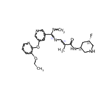 C=N/C(=N\C=C(/C)C(=O)N[C@@H]1CNC[C@@H](F)C1)c1cncc(Oc2ncccc2OCC)c1